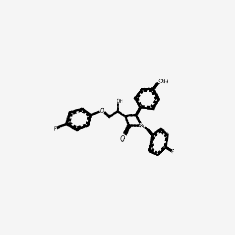 O=C1C(C(O)COc2ccc(F)cc2)C(c2ccc(O)cc2)N1c1ccc(F)cc1